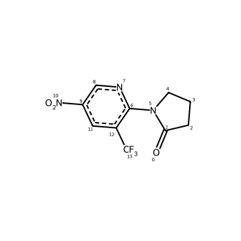 O=C1CCCN1c1ncc([N+](=O)[O-])cc1C(F)(F)F